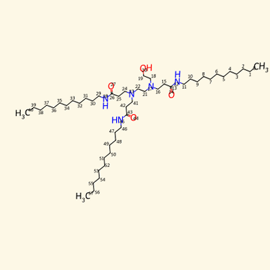 CCCCCCCCCCCCNC(=O)CCN(CCO)CCN(CCC(=O)NCCCCCCCCCCCC)CCC(=O)NCCCCCCCCCCCC